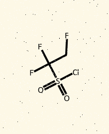 O=S(=O)(Cl)C(F)(F)CF